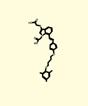 Cc1cc(C)c(OCCCCOc2ccc(/C=C/c3cccc4c(SCC(=O)O)cn(CC(=O)O)c34)cc2)c(C)c1